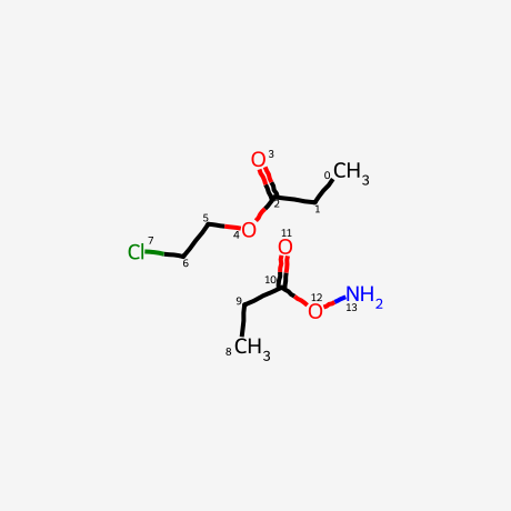 CCC(=O)OCCCl.CCC(=O)ON